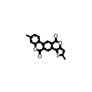 Cc1ccc2c(c1)oc(=O)c1cc3c(cc12)c(=O)oc1cc(C)sc13